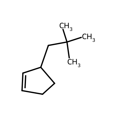 CC(C)(C)CC1C=CCC1